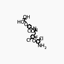 CC(C)(O)[C@@H](O)COc1ccc(-c2nnc(Cc3ccc(Cl)c(Oc4cc(N)cc(Cl)c4)c3F)o2)c(Cl)c1